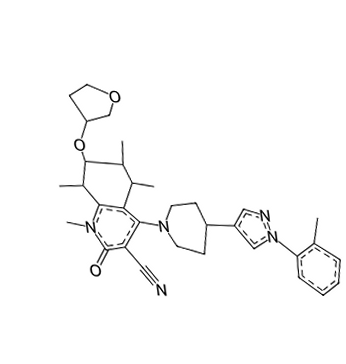 Cc1ccccc1-n1cc(C2CCN(c3c4c(n(C)c(=O)c3C#N)C(C)C(OC3CCOC3)C(C)C4C)CC2)cn1